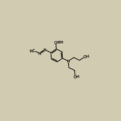 COc1cc(N(CCO)CCO)ccc1N=NC#N